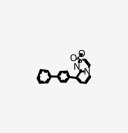 O=S1(=O)C=CN2C=CC=C(c3ccc(-c4ccccc4)cc3)C2=N1